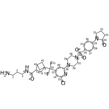 NCCCNC(=O)C1CC2(C(F)(F)c3cc(Cl)nc(N4CCN(S(=O)(=O)c5ccc(N6CCCC6=O)cc5)CC4)c3)CC1C2